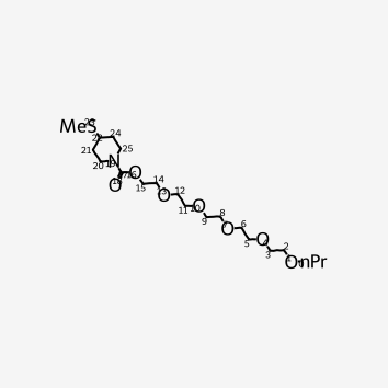 CCCOCCOCCOCCOCCOCCOC(=O)N1CCC(SC)CC1